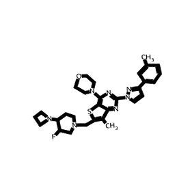 Cc1cccc(-c2ccn(-c3nc(N4CCOCC4)c4sc(CN5CCC(N6CCC6)C(F)C5)c(C)c4n3)n2)c1